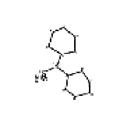 CN(C1CCCCC1)C1CCCCC1.N